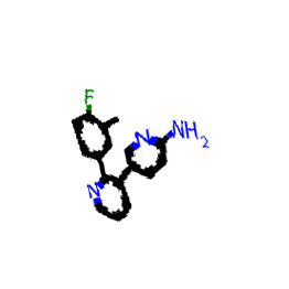 Cc1cc(-c2ncccc2-c2ccc(N)nc2)ccc1F